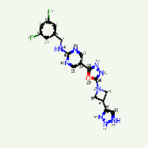 Fc1cc(F)cc(CNc2ncc(-c3nnc(N4CC(c5c[nH]nn5)C4)o3)cn2)c1